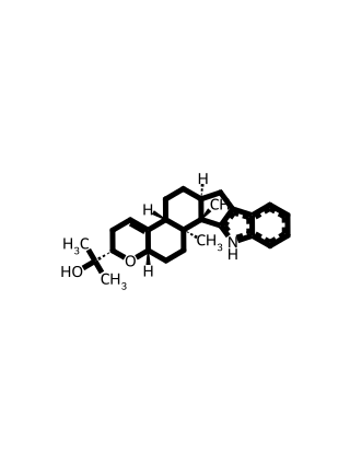 CC(C)(O)[C@@H]1CC=C2[C@H](CC[C@@]3(C)[C@H]2CC[C@H]2Cc4c([nH]c5ccccc45)[C@@]23C)O1